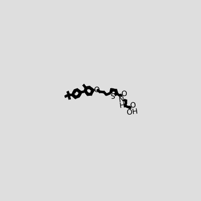 Cc1cc(OCCCc2ccc(C(=O)NCCC(=O)O)s2)ccc1-c1ccc(C(C)(C)C)cc1